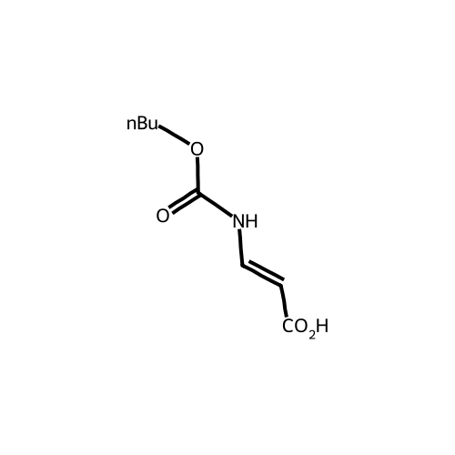 CCCCOC(=O)NC=CC(=O)O